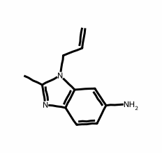 C=CCn1c(C)nc2ccc(N)cc21